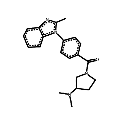 Cc1nc2ccccc2n1-c1ccc(C(=O)N2CCC(N(C)C)C2)cc1